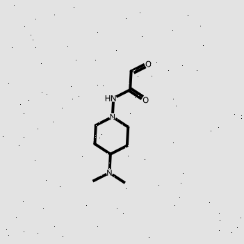 CN(C)C1CCN(NC(=O)C=O)CC1